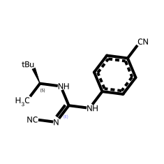 C[C@H](N/C(=N\C#N)Nc1ccc(C#N)cc1)C(C)(C)C